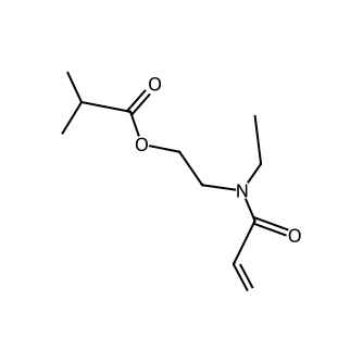 C=CC(=O)N(CC)CCOC(=O)C(C)C